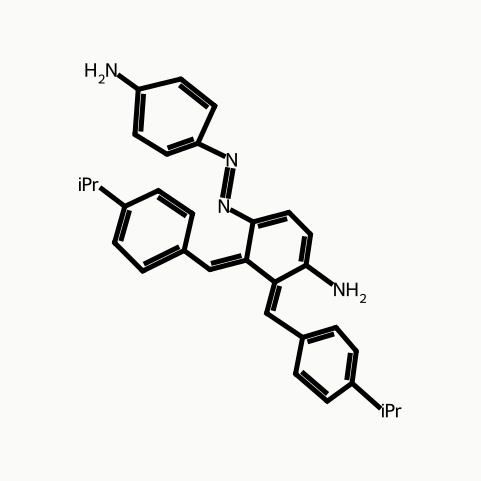 CC(C)c1ccc(C=c2c(N)ccc(N=Nc3ccc(N)cc3)c2=Cc2ccc(C(C)C)cc2)cc1